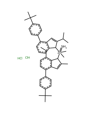 CCc1ccc(-c2ccc(C(C)(C)C)cc2)c2c1[CH]([Zr]([CH3])([CH3])(=[SiH2])[CH]1C(C(C)C)=Cc3c(-c4ccc(C(C)(C)C)cc4)cccc31)C(C)=C2.Cl.Cl